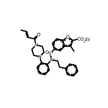 C/C=C/C(=O)N1CCN(c2ccccc2N(CCc2ccccc2)[S+]([O-])c2ccc3oc(C(=O)OCC)c(C)c3c2)CC1